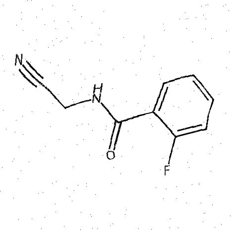 N#CCNC(=O)c1ccccc1F